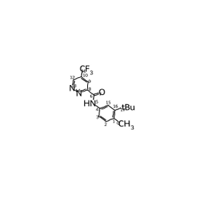 Cc1ccc(NC(=O)c2cc(C(F)(F)F)cnn2)cc1C(C)(C)C